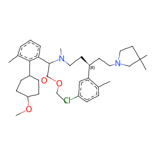 CCOC(=O)C(c1cccc(C)c1C1CCC(OC)CC1)N(C)CC[C@@H](CCN1CCC(C)(C)C1)c1cc(Cl)ccc1C